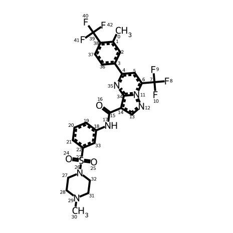 Cc1cc(-c2cc(C(F)(F)F)n3ncc(C(=O)Nc4cccc(S(=O)(=O)N5CCN(C)CC5)c4)c3n2)ccc1C(F)(F)F